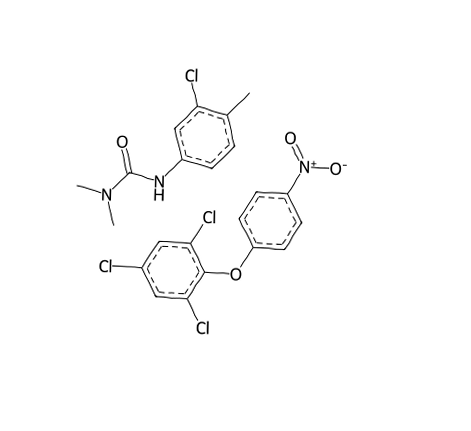 Cc1ccc(NC(=O)N(C)C)cc1Cl.O=[N+]([O-])c1ccc(Oc2c(Cl)cc(Cl)cc2Cl)cc1